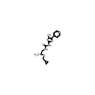 Cc1nc(NC(=O)NC[C@@H](C)OCC2CC2)sc1-c1ccncc1